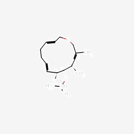 CO[C@H]1/C=C/CC/C=C/COC/C(C)=C\[C@@H](C)[C@@H]1O[SiH](C)C